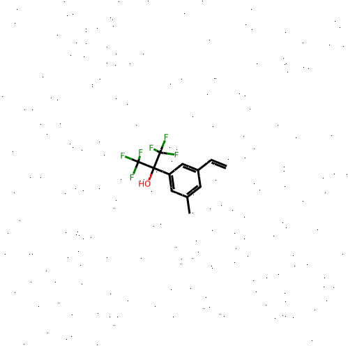 C=Cc1cc(C)cc(C(O)(C(F)(F)F)C(F)(F)F)c1